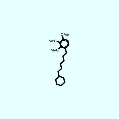 COc1c[c]c(CCCCCCC2CCCCC2)c(OC)c1OC